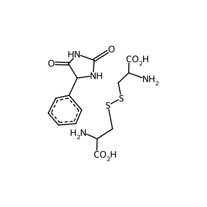 NC(CSSCC(N)C(=O)O)C(=O)O.O=C1NC(=O)C(c2ccccc2)N1